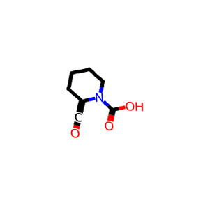 O=C=C1CCCCN1C(=O)O